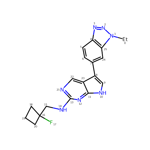 CCn1nnc2ccc(-c3c[nH]c4nc(NCC5(F)CCC5)ncc34)cc21